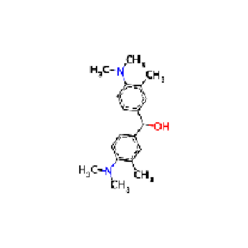 Cc1cc(C(O)c2ccc(N(C)C)c(C)c2)ccc1N(C)C